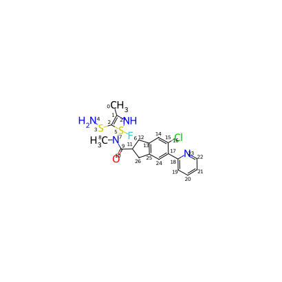 CC1=C(SN)S(F)(N(C)C(=O)C2Cc3cc(Cl)c(-c4ccccn4)cc3C2)N1